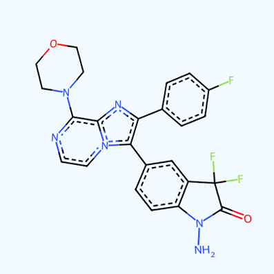 NN1C(=O)C(F)(F)c2cc(-c3c(-c4ccc(F)cc4)nc4c(N5CCOCC5)nccn34)ccc21